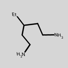 CCC(CCN)CCN